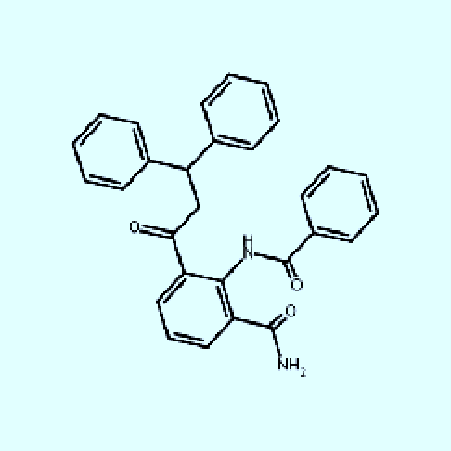 NC(=O)c1cccc(C(=O)CC(c2ccccc2)c2ccccc2)c1NC(=O)c1ccccc1